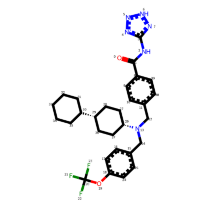 O=C(Nc1nn[nH]n1)c1ccc(CN(Cc2ccc(OC(F)(F)F)cc2)[C@H]2CC[C@@H](C3CCCCC3)CC2)cc1